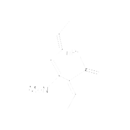 C=C(CCC)C(=C/C)/C(=C\C=C\C)NC